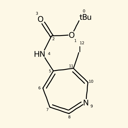 CC(C)(C)OC(=O)NC1=CC=C=NC=C1I